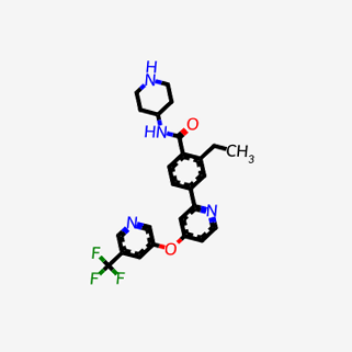 CCc1cc(-c2cc(Oc3cncc(C(F)(F)F)c3)ccn2)ccc1C(=O)NC1CCNCC1